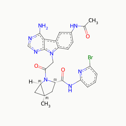 CC(=O)Nc1ccc2c(c1)c1c(N)ncnc1n2CC(=O)N1[C@H](C(=O)Nc2cccc(Br)n2)C[C@@]2(C)C[C@@H]12